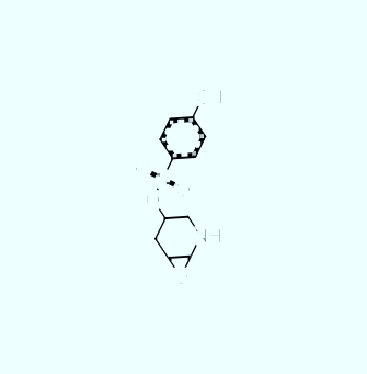 Cc1ccc(S(=O)(=O)OC2CNC3OC3C2)cc1